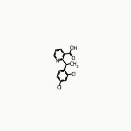 CC(c1ccc(Cl)cc1Cl)c1ncccc1C(=O)O